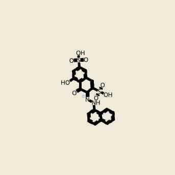 O=C1/C(=N/Nc2cccc3ccccc23)C(S(=O)(=O)O)=Cc2cc(S(=O)(=O)O)cc(O)c21